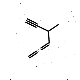 C#CC(C)C=C=C